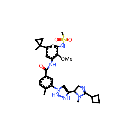 COc1c(NC(=O)c2ccc(C)c(N3C=C(C4CN=C(C5CCC5)N4C)NN3)c2)cc(C2(C)CC2)cc1NS(C)(=O)=O